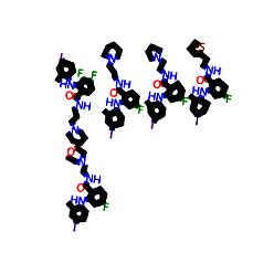 Cc1cc(I)ccc1Nc1c(C(=O)NCCCN2CCCCC2)ccc(F)c1F.Cc1cc(I)ccc1Nc1cc(F)ccc1C(=O)NCCCN1CCCCC1.Cc1cc(I)ccc1Nc1cc(F)ccc1C(=O)NCCN1CCCC1.Cc1cc(I)ccc1Nc1cc(F)ccc1C(=O)NCCN1CCOCC1.Cc1cc(I)ccc1Nc1cc(F)ccc1C(=O)NCCc1cccs1